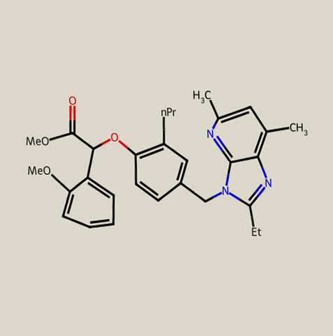 CCCc1cc(Cn2c(CC)nc3c(C)cc(C)nc32)ccc1OC(C(=O)OC)c1ccccc1OC